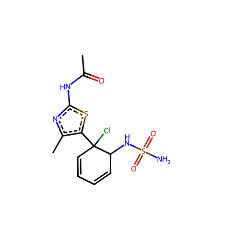 CC(=O)Nc1nc(C)c(C2(Cl)C=CC=CC2NS(N)(=O)=O)s1